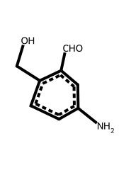 Nc1ccc(CO)c(C=O)c1